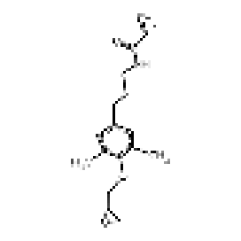 C=CC(=O)NCCCc1cc(C)c(OCC2CO2)c(C)c1